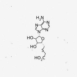 Nc1ncnc2c1ncn2[C@@H]1O[C@H](CSCC(=O)O)C(O)C1O